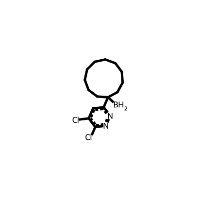 BC1(c2cc(Cl)c(Cl)nn2)CCCCCCCCCC1